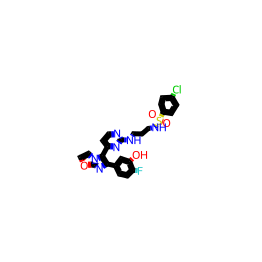 O=S(=O)(NCCCNc1nccc(-c2c(-c3ccc(F)c(O)c3)nc3occn23)n1)c1ccc(Cl)cc1